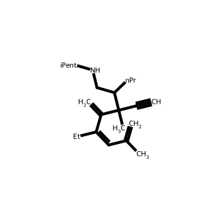 C#CC(C)(C(=C)/C(=C\C(=C)C)CC)C(CCC)CNC(C)CCC